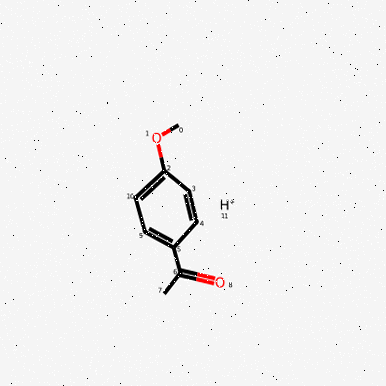 COc1ccc(C(C)=O)cc1.[H+]